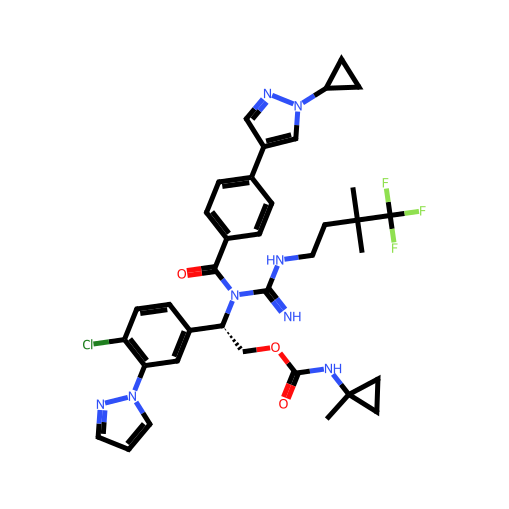 CC1(NC(=O)OC[C@H](c2ccc(Cl)c(-n3cccn3)c2)N(C(=N)NCCC(C)(C)C(F)(F)F)C(=O)c2ccc(-c3cnn(C4CC4)c3)cc2)CC1